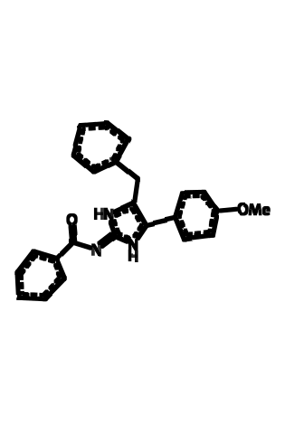 COc1ccc(-c2[nH]/c(=N/C(=O)c3ccccc3)[nH]c2Cc2ccccc2)cc1